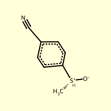 C[S@@+]([O-])c1ccc(C#N)cc1